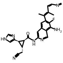 C=N/C=C\C(C)=C(/C)c1cc2cc(NC(=O)[C@H]3[C@H](CC#N)[C@H]3c3c[nH]cn3)ncc2c(N)c1F